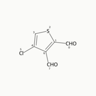 O=Cc1scc(Cl)c1C=O